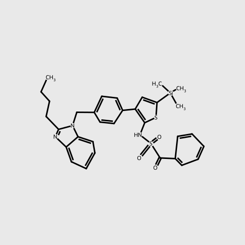 CCCCc1nc2ccccc2n1Cc1ccc(-c2cc([Si](C)(C)C)sc2NS(=O)(=O)C(=O)c2ccccc2)cc1